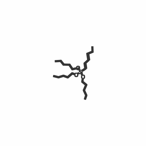 CCC=CC=C[Si](OCCCCC)(OCCCCC)OCCCCC